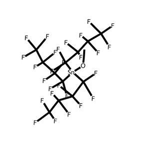 C[O][Sn]([C](F)(F)C(F)(F)C(F)(F)C(F)(F)F)([C](F)(F)C(F)(F)C(F)(F)C(F)(F)F)[C](F)(F)C(F)(F)C(F)(F)C(F)(F)F